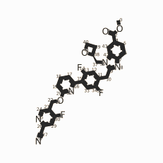 COC(=O)c1ccc2nc(Cc3cc(F)c(-c4cccc(OCc5cnc(C#N)cc5F)n4)cc3F)n(C[C@@H]3CCO3)c2c1